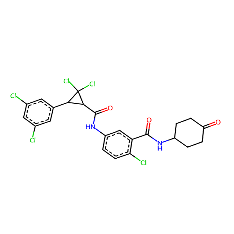 O=C1CCC(NC(=O)c2cc(NC(=O)C3C(c4cc(Cl)cc(Cl)c4)C3(Cl)Cl)ccc2Cl)CC1